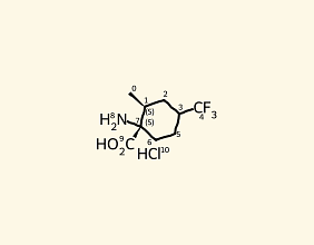 C[C@H]1CC(C(F)(F)F)CC[C@@]1(N)C(=O)O.Cl